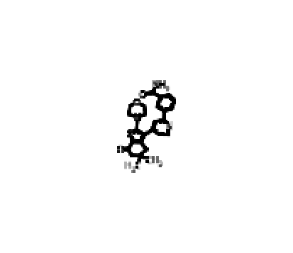 CC1(C)CC(=O)c2sc(N3CCOCC3)c(-c3ccnc(-c4cccc(C(N)=O)c4)c3)c2C1